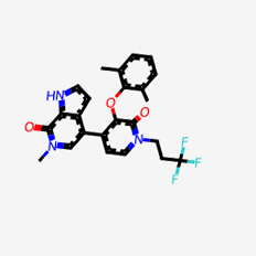 Cc1cccc(C)c1Oc1c(-c2cn(C)c(=O)c3[nH]ccc23)ccn(CCC(F)(F)F)c1=O